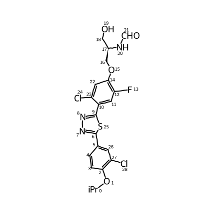 CC(C)Oc1ccc(-c2nnc(-c3cc(F)c(OC[C@@H](CO)NC=O)cc3Cl)s2)cc1Cl